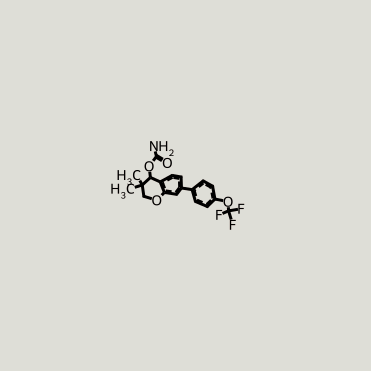 CC1(C)COc2cc(-c3ccc(OC(F)(F)F)cc3)ccc2C1OC(N)=O